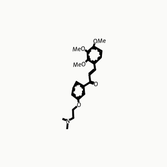 COc1ccc(C=CC(=O)c2cccc(OCCN(C)C)c2)c(OC)c1OC